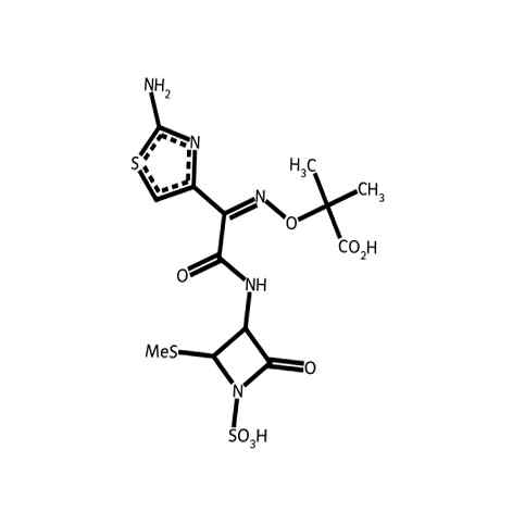 CSC1C(NC(=O)C(=NOC(C)(C)C(=O)O)c2csc(N)n2)C(=O)N1S(=O)(=O)O